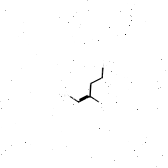 CC/C(=C/NC)CCC(C)CC